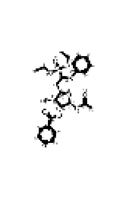 CCOP(=O)(OCC)C(C[C@H]1O[C@@H](OC(C)=O)[C@H](OC(=O)c2ccccc2)[C@@H]1F)Sc1ccccc1